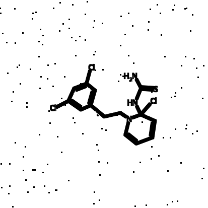 NC(=S)NC1(Cl)C=CC=CN1CCc1cc(Cl)cc(Cl)c1